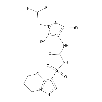 CC(C)c1nn(CC(F)F)c(C(C)C)c1NC(=O)NS(=O)(=O)c1cnn2c1OCCC2